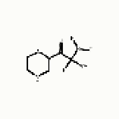 CC(C)C(F)(C(=O)C1CNCC[N]1)N(F)F